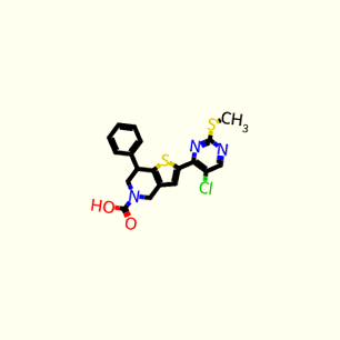 CSc1ncc(Cl)c(-c2cc3c(s2)C(c2ccccc2)CN(C(=O)O)C3)n1